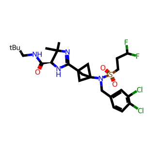 CC(C)(C)CNC(=O)[C@@H]1NC(C23CC(N(Cc4ccc(Cl)c(Cl)c4)S(=O)(=O)CCC(F)F)(C2)C3)=NC1(C)C